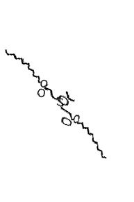 CC(C)=O.CCCCCCCCCCCCOC(=O)CCSCCC(=O)OCCCCCCCCCCCC